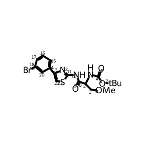 COCC(NC(=O)OC(C)(C)C)C(=O)Nc1nc(-c2cccc(Br)c2)cs1